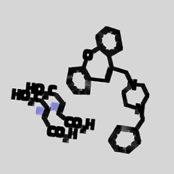 C1=C(CN2CCN(Cc3ccccc3)CC2)c2ccccc2Oc2ccccc21.O=C(O)/C=C/C(=O)O.O=C(O)/C=C/C(=O)O